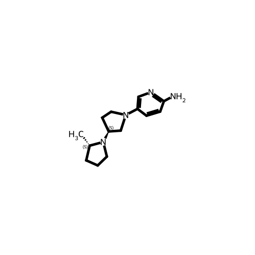 C[C@H]1CCCN1[C@H]1CCN(c2ccc(N)nc2)C1